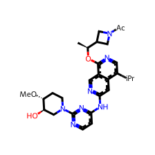 CO[C@@H]1CCN(c2nccc(Nc3cc4c(C(C)C)cnc(O[C@@H](C)C5CN(C(C)=O)C5)c4cn3)n2)C[C@H]1O